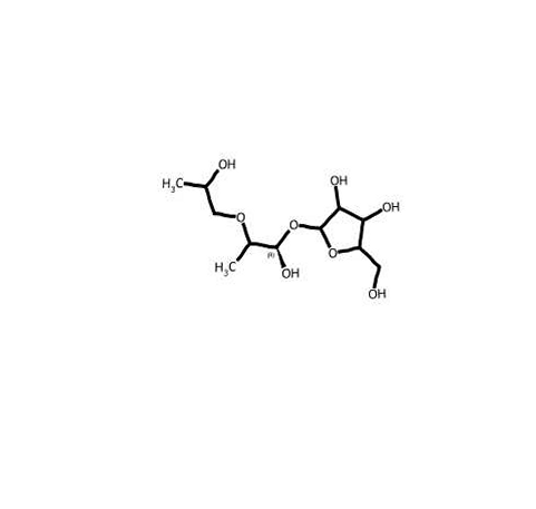 CC(O)COC(C)[C@H](O)OC1OC(CO)C(O)C1O